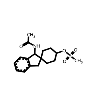 CC(=O)NC1c2ccccc2CC12CCC(OS(C)(=O)=O)CC2